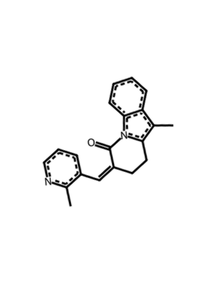 Cc1ncccc1C=C1CCc2c(C)c3ccccc3n2C1=O